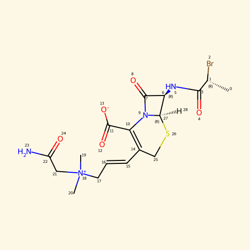 C[C@@H](Br)C(=O)N[C@@H]1C(=O)N2C(C(=O)[O-])=C(C=CC[N+](C)(C)CC(N)=O)CS[C@H]12